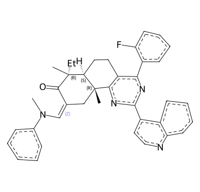 CC[C@@]1(C)C(=O)/C(=C\N(C)c2ccccc2)C[C@@]2(C)c3nc(-c4ccnc5ccccc45)nc(-c4ccccc4F)c3CC[C@H]12